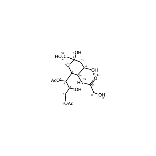 CC(=O)OCC(O)C(OC(C)=O)C1OC(O)(C(=O)O)CC(O)C1NC(=O)CO